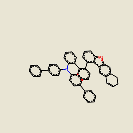 C1=Cc2cc3c(cc2CC1)oc1cccc(-c2ccccc2-c2ccccc2N(c2ccc(-c4ccccc4)cc2)c2ccc(-c4ccccc4)cc2)c13